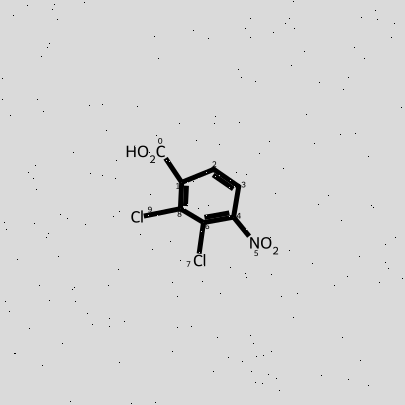 O=C(O)c1ccc([N+](=O)[O-])c(Cl)c1Cl